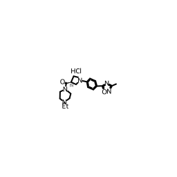 CCN1CCN(C(=O)[C@H]2CCN(c3ccc(-c4nc(C)no4)cc3)C2)CC1.Cl